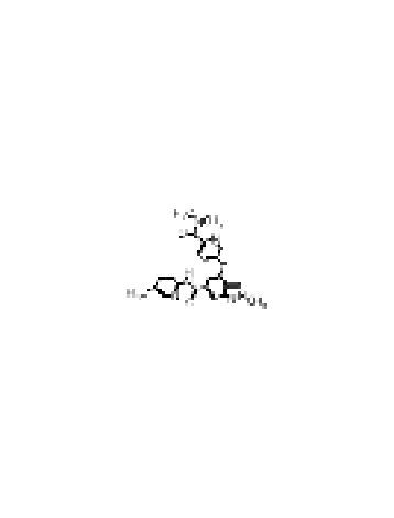 Cc1ccc(NC(=O)c2cc(Oc3cnc(C(=O)N(C)C)cn3)c3cn(C)nc3c2)nc1